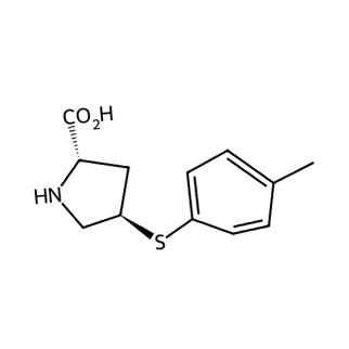 Cc1ccc(S[C@H]2CN[C@H](C(=O)O)C2)cc1